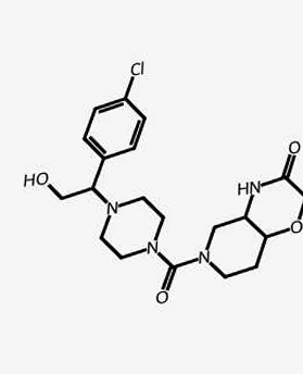 O=C1COC2CCN(C(=O)N3CCN(C(CO)c4ccc(Cl)cc4)CC3)CC2N1